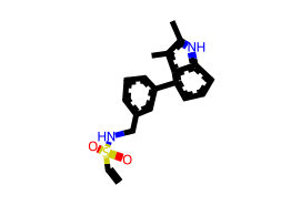 C=CS(=O)(=O)NCc1cccc(-c2cccc3[nH]c(C)c(C)c23)c1